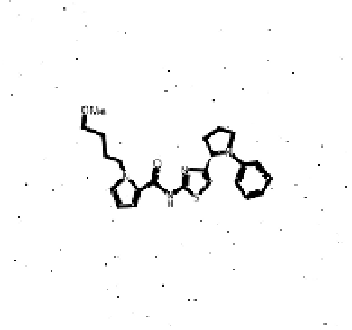 COCCCCn1cccc1C(=O)Nc1nc([C@H]2CCCN2c2ccccc2)cs1